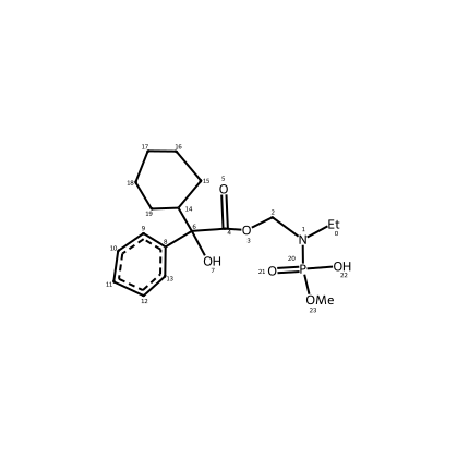 CCN(COC(=O)C(O)(c1ccccc1)C1CCCCC1)P(=O)(O)OC